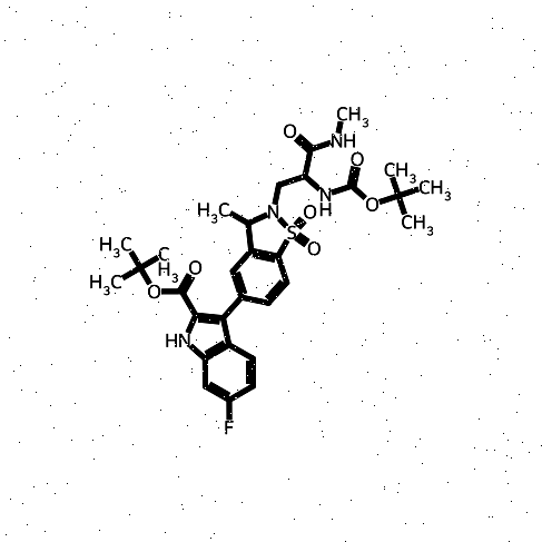 CNC(=O)C(CN1C(C)c2cc(-c3c(C(=O)OC(C)(C)C)[nH]c4cc(F)ccc34)ccc2S1(=O)=O)NC(=O)OC(C)(C)C